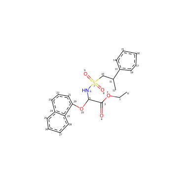 CCOC(=O)C(NS(=O)(=O)CC(C)c1ccccc1)Oc1cccc2ccccc12